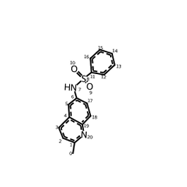 Cc1ccc2cc(NS(=O)(=O)c3ccccc3)ccc2n1